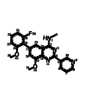 CNc1nc(-c2cccnc2)nc2c(OC)cc(-c3c(F)cccc3OC)cc12